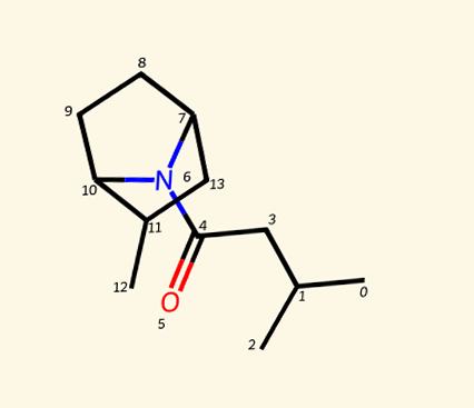 CC(C)CC(=O)N1C2CCC1C(C)C2